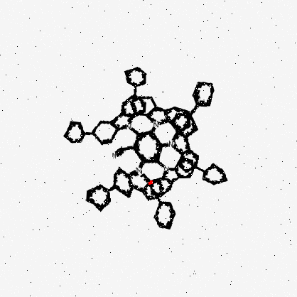 N#Cc1c(-n2c3c(c4cc(-c5ccccc5)ccc42)CC(c2ccccc2)C=C3)c(-n2c3c(c4ccccc42)CCC=C3)c(-n2c3ccc(-c4ccccc4)cc3c3cc(-c4ccccc4)ccc32)c(-n2c3ccccc3c3ccccc32)c1-n1c2ccc(-c3ccccc3)cc2c2cc(-c3ccccc3)ccc21